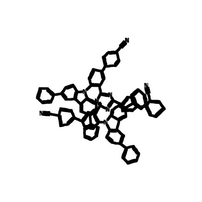 N#Cc1ccc(-c2ccc(-n3c4ccc(-c5ccccc5)cc4c4cc(-c5ccccc5)ccc43)c(-c3nc(-c4ccc(-c5ccccc5C#N)cc4)nc(-c4cc(-c5ccc(C#N)cc5)ccc4-n4c5ccc(-c6ccccc6)cc5c5cc(-c6ccccc6)ccc54)n3)c2)cc1